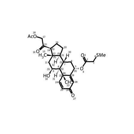 CSCC(=O)O[C@H]1C[C@@H]2[C@H]([C@@H](O)C[C@]3(C)[C@@H](C(=O)COC(C)=O)CC[C@@H]23)[C@@]2(C)C=CC(=O)C=C12